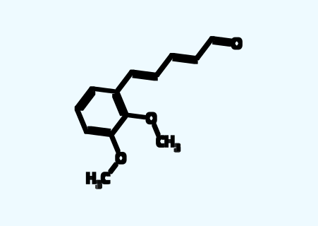 COc1cccc(C=CC=CC=O)c1OC